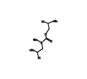 CCCCC(CC)COC(=O)[N]([Mo])CC(CC)CCCC